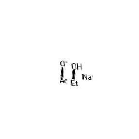 CC(=O)[O-].CCO.[Na+]